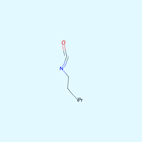 CC(C)CCN=C=O